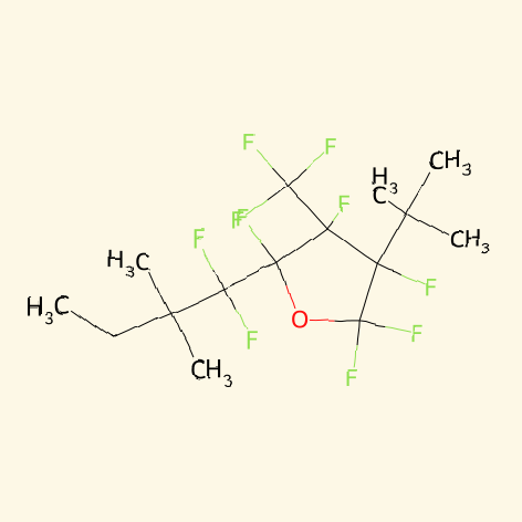 CCC(C)(C)C(F)(F)C1(F)OC(F)(F)C(F)(C(C)(C)C)C1(F)C(F)(F)F